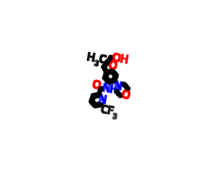 CC1(CO)Cc2cc(NC(=O)c3cccc(C(F)(F)F)n3)c(N3CCOCC3)cc2O1